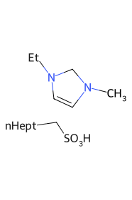 CCCCCCCCS(=O)(=O)O.CCN1C=CN(C)C1